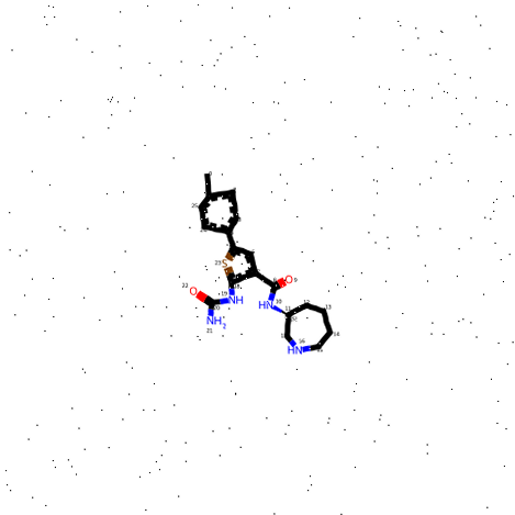 Cc1ccc(-c2cc(C(=O)N[C@H]3CCCCNC3)c(NC(N)=O)s2)cc1